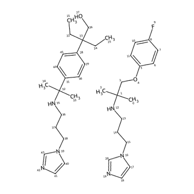 CC(C)(COc1ccc(F)cc1)NCCCn1ccnc1.CCC(CC)(CO)c1ccc(C(C)(C)NCCCn2ccnc2)cc1